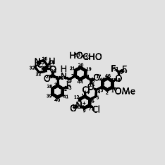 COc1cc(C(Cc2c(Cl)c[n+]([O-])cc2Cl)OC(=O)c2cccc(CNC(C(=O)O[C@H]3CN4CCC3CC4)c3ccccc3F)c2)ccc1OC(F)F.O=CO